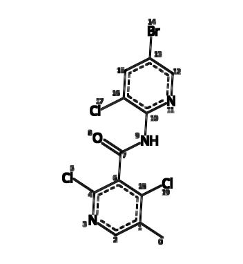 Cc1cnc(Cl)c(C(=O)Nc2ncc(Br)cc2Cl)c1Cl